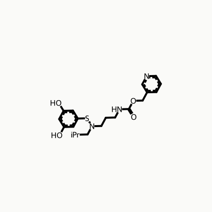 CC(C)CN(CCCNC(=O)OCc1cccnc1)Sc1cc(O)cc(O)c1